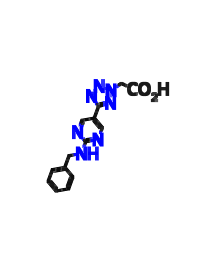 O=C(O)Cn1nnc(-c2cnc(NCc3ccccc3)nc2)n1